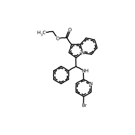 CCOC(=O)c1cc(C(Nc2ccc(Br)cn2)c2ccccc2)n2ccccc12